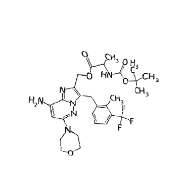 Cc1c(Cc2c(COC(=O)C(C)NC(=O)OC(C)(C)C)nc3c(N)cc(N4CCOCC4)nn23)cccc1C(F)(F)F